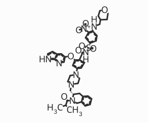 CC(C)C(=O)N1Cc2ccccc2C[C@H]1CN1CCN(c2ccc(C(=O)NS(=O)(=O)c3ccc(NCC4CCOCC4)c([N+](=O)[O-])c3)c(Oc3cnc4[nH]ccc4c3)c2)CC1